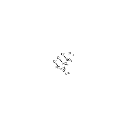 O.O.O=[N+]([O-])[O-].O=[N+]([O-])[O-].O=[N+]([O-])[O-].[Al+3]